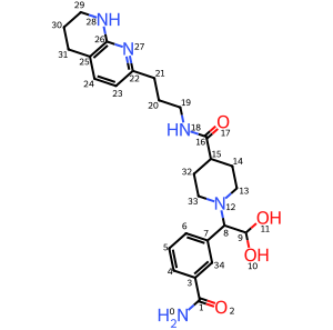 NC(=O)c1cccc(C(C(O)O)N2CCC(C(=O)NCCCc3ccc4c(n3)NCCC4)CC2)c1